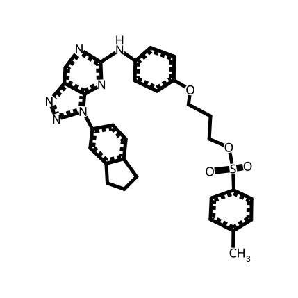 Cc1ccc(S(=O)(=O)OCCCOc2ccc(Nc3ncc4nnn(-c5ccc6c(c5)CCC6)c4n3)cc2)cc1